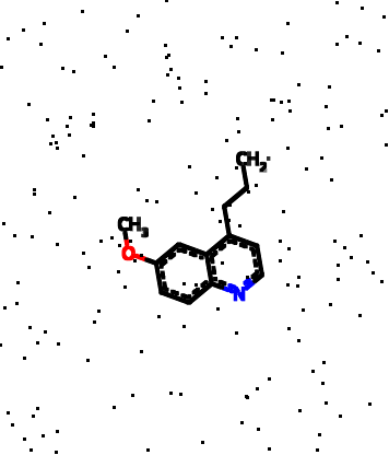 [CH2]CCc1ccnc2ccc(OC)cc12